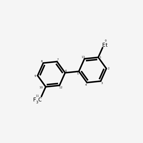 [CH2]Cc1cccc(-c2cccc(C(F)(F)F)c2)c1